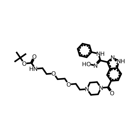 CC(C)(C)OC(=O)NCCOCCOCCN1CCN(C(=O)c2ccc3[nH]nc(C(=NO)Nc4ccccc4)c3c2)CC1